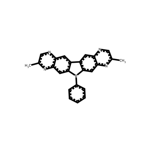 Cc1cnc2cc3c(cc2n1)B(c1ccccc1)c1cc2nc(C)cnc2cc1-3